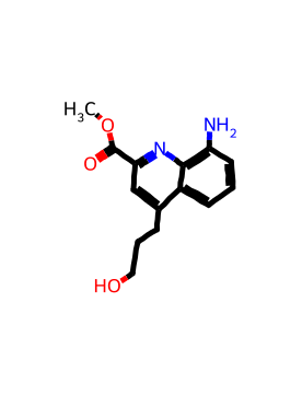 COC(=O)c1cc(CCCO)c2cccc(N)c2n1